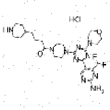 Cl.Nc1ncc(-c2nc(N3CCOCC3)nc(N3CCN(C(=O)CCCC4CCNCC4)CC3)n2)c(C(F)F)n1